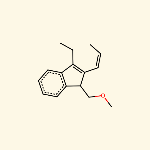 C/C=C\C1=C(CC)c2ccccc2C1COC